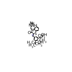 CC(C)(C)c1cc(/C=C2\Sc3ccccc3N(Cc3nnn[nH]3)C2=O)cc(C(C)(C)CO)c1O